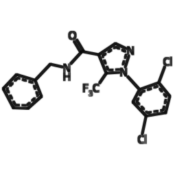 O=C(NCc1ccccc1)c1cnn(-c2cc(Cl)ccc2Cl)c1C(F)(F)F